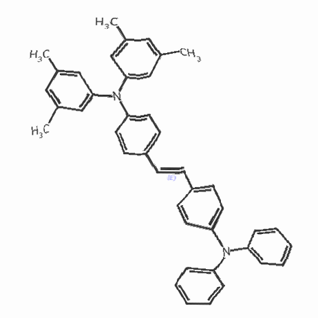 Cc1cc(C)cc(N(c2ccc(/C=C/c3ccc(N(c4ccccc4)c4ccccc4)cc3)cc2)c2cc(C)cc(C)c2)c1